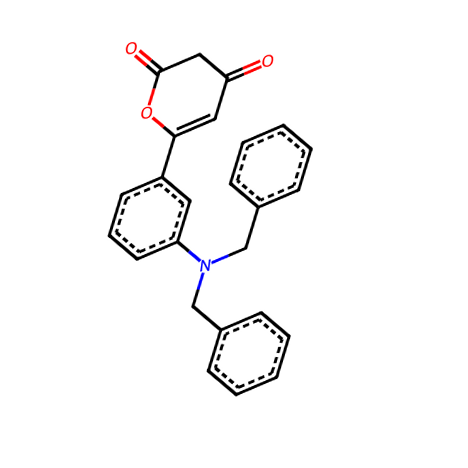 O=C1C=C(c2cccc(N(Cc3ccccc3)Cc3ccccc3)c2)OC(=O)C1